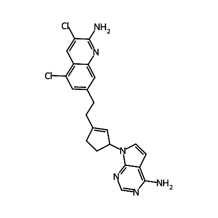 Nc1nc2cc(CCC3=CC(n4ccc5c(N)ncnc54)CC3)cc(Cl)c2cc1Cl